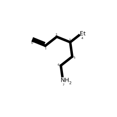 C=CCC(CC)CCN